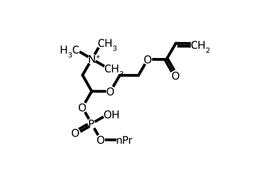 C=CC(=O)OCCOC(C[N+](C)(C)C)OP(=O)(O)OCCC